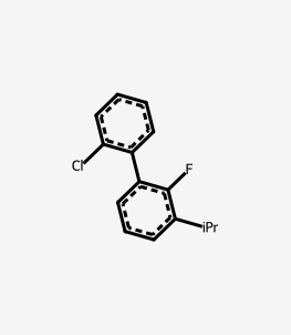 CC(C)c1cccc(-c2ccccc2Cl)c1F